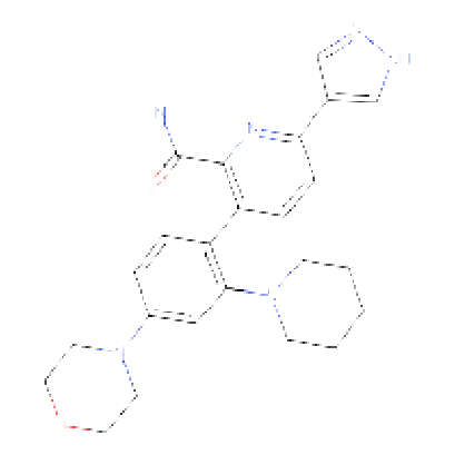 NC(=O)c1nc(-c2cn[nH]c2)ccc1-c1ccc(N2CCOCC2)cc1N1CCCCC1